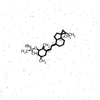 C=C1/C(=C\C=C2/CCC[C@@]3(C)C2CCC32C[C@H]2C)CC(C)CC1O[Si](C)(C)C(C)(C)C